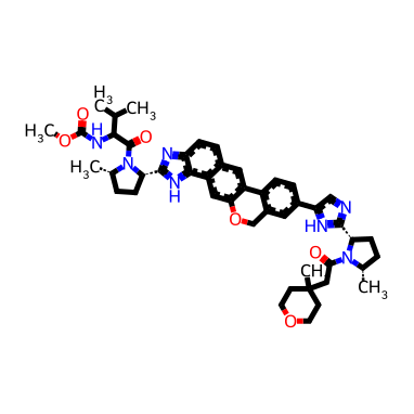 COC(=O)NC(C(=O)N1[C@@H](C)CC[C@H]1c1nc2ccc3cc4c(cc3c2[nH]1)OCc1cc(-c2cnc([C@@H]3CC[C@H](C)N3C(=O)CC3(C)CCOCC3)[nH]2)ccc1-4)C(C)C